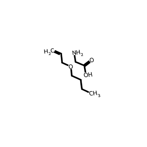 C=CCOCCCC.NCC(=O)O